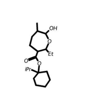 CCC1OC(O)C(C)CCC1C(=O)OC1(C(C)C)CCCCC1